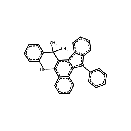 CC1(C)c2ccccc2Nc2c1c1c3ccccc3n(-c3ccccc3)c1c1ccccc21